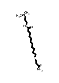 CN(C)CCCNC(=O)CCCCCCCCCCSCCC(N)=O